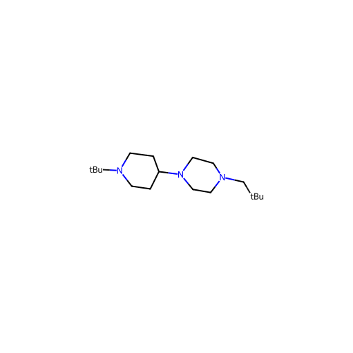 CC(C)(C)CN1CCN(C2CCN(C(C)(C)C)CC2)CC1